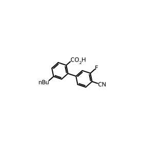 CCCCc1ccc(C(=O)O)c(-c2ccc(C#N)c(F)c2)c1